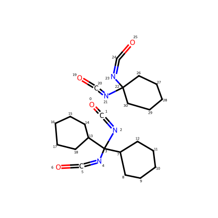 O=C=NC(N=C=O)(C1CCCCC1)C1CCCCC1.O=C=NC1(N=C=O)CCCCC1